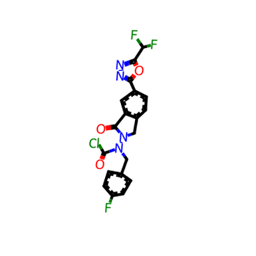 O=C(Cl)N(Cc1ccc(F)cc1)N1Cc2ccc(-c3nnc(C(F)F)o3)cc2C1=O